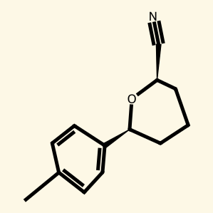 Cc1ccc([C@@H]2CCC[C@H](C#N)O2)cc1